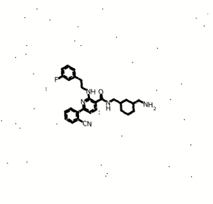 N#Cc1ccccc1-c1ccc(C(=O)NCC2CCCC(CN)C2)c(NCCc2cccc(F)c2)n1